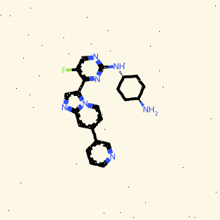 N[C@H]1CC[C@H](Nc2ncc(F)c(-c3cnc4cc(-c5cccnc5)ccn34)n2)CC1